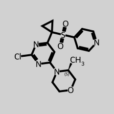 C[C@H]1COCCN1c1cc(C2(S(=O)(=O)c3ccncc3)CC2)nc(Cl)n1